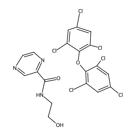 Clc1cc(Cl)c(Oc2c(Cl)cc(Cl)cc2Cl)c(Cl)c1.O=C(NCCO)c1cnccn1